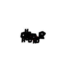 O=C(N[C@H]1C[C@H]2CC[C@@H](C1)N2S(=O)(=O)c1ccc(CN2CCCC2)cc1)c1cc(C2CC2)on1